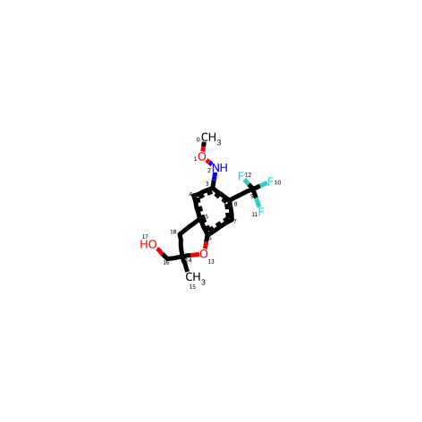 CONc1cc2c(cc1C(F)(F)F)OC(C)(CO)C2